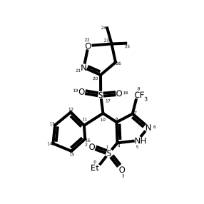 CCS(=O)(=O)c1[nH]nc(C(F)(F)F)c1C(c1ccccc1)S(=O)(=O)C1=NOC(C)(C)C1